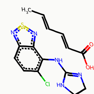 CC=CC=CC(=O)O.Clc1ccc2nsnc2c1NC1=NCCN1